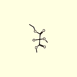 CCOC(=O)C([O])(OC)C(=O)OC